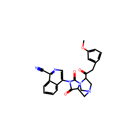 COc1cccc(CC(=O)C2CN3CC4C(=O)N(c5cnc(C#N)c6ccccc56)C(=O)[N+]24C3)c1